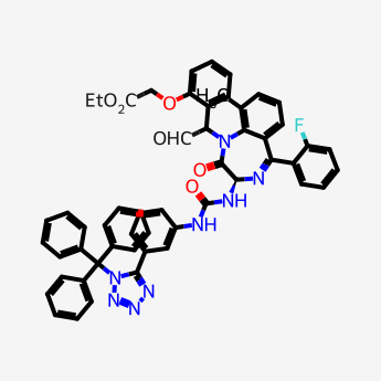 CCOC(=O)COc1ccccc1C(C=O)N1C(=O)[C@H](NC(=O)Nc2cccc(-c3nnnn3C(c3ccccc3)(c3ccccc3)c3ccccc3)c2)N=C(c2ccccc2F)c2cccc(C)c21